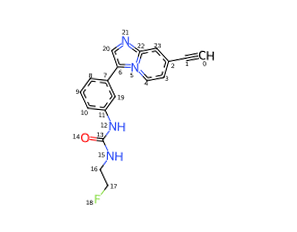 C#Cc1ccn2c(-c3cccc(NC(=O)NCCF)c3)cnc2c1